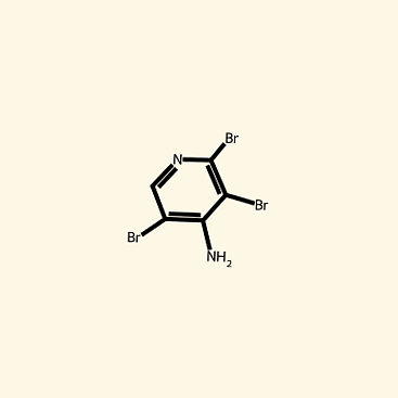 Nc1c(Br)cnc(Br)c1Br